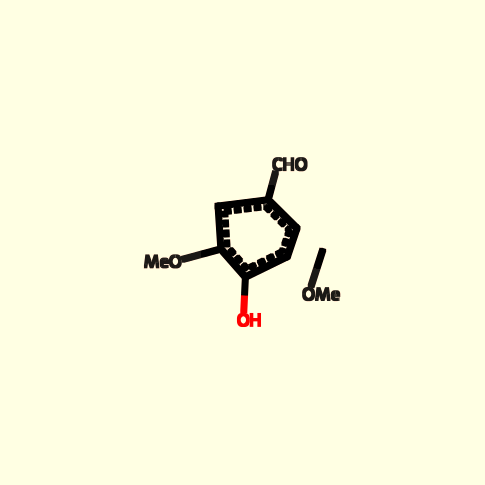 COC.COc1cc(C=O)ccc1O